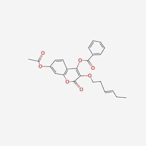 CC/C=C/CCOc1c(OC(=O)c2ccccc2)c2ccc(OC(C)=O)cc2oc1=O